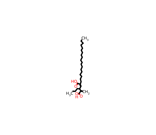 C=C(C(=O)O)C(C=C(CCCCCCCCCCCCCCCCCCC)C(=O)O)CCCC